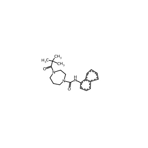 CC(C)(C)C(=O)N1CCCN(C(=O)Nc2cccc3ccccc23)CC1